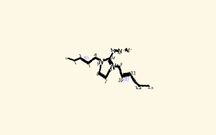 CC/C=C/CN1CC[N+](C/C=C/CC)=C1N=[N+]=[N-]